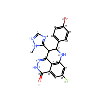 Cn1ncnc1C1c2n[nH]c(=O)c3cc(F)cc(c23)NC1c1ccc(Br)cc1